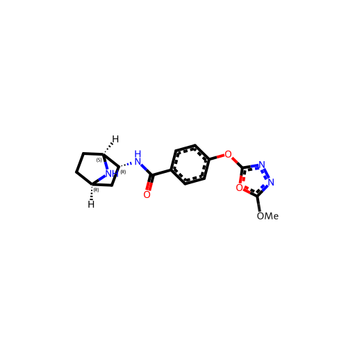 COc1nnc(Oc2ccc(C(=O)N[C@@H]3C[C@H]4CC[C@@H]3N4)cc2)o1